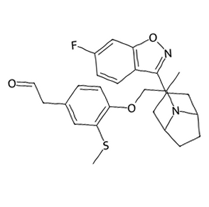 CSc1cc(CC=O)ccc1OCC(C)N1C2CCC1CC(c1noc3cc(F)ccc13)C2